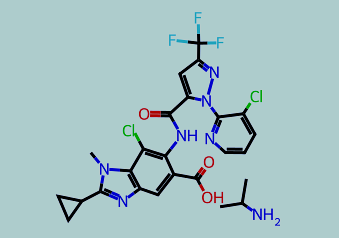 CC(C)N.Cn1c(C2CC2)nc2cc(C(=O)O)c(NC(=O)c3cc(C(F)(F)F)nn3-c3ncccc3Cl)c(Cl)c21